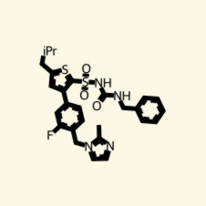 Cc1nccn1Cc1ccc(-c2cc(CC(C)C)sc2S(=O)(=O)NC(=O)NCc2ccccc2)cc1F